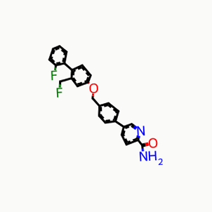 NC(=O)c1ccc(-c2ccc(COc3ccc(-c4ccccc4F)c(CF)c3)cc2)cn1